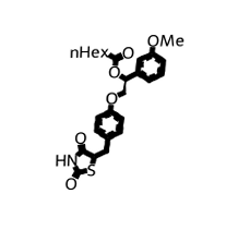 CCCCCCC(=O)O[C@H](COc1ccc(CC2SC(=O)NC2=O)cc1)c1cccc(OC)c1